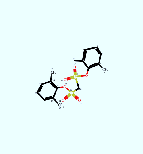 Cc1cccc(C(F)(F)F)c1OS(=O)(=O)CS(=O)(=O)Oc1c(C(F)(F)F)cccc1C(F)(F)F